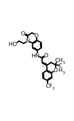 CC1(C)C/C(=C\C(=O)Nc2ccc3c(c2)N(CCO)C(=O)CO3)c2ccc(C(F)(F)F)cc2O1